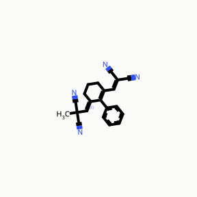 CC(C#N)(C#N)/C=C1\CCCC(C=C(C#N)C#N)=C1c1ccccc1